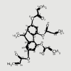 C=CC(=O)Oc1cc(OC(=O)C=C)c2c(c1)C(C)c1cc(OC(=O)C=C)cc(OC(=O)C=C)c1-2